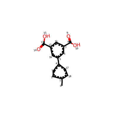 Cc1ccc(-c2cc(C(=O)O)cc(C(=O)O)c2)cc1